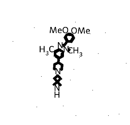 COc1ccc(-c2nc3c(C)cc(C4CCN(C5CC6(CNC6)C5)CC4)cc3n2C)cc1OC